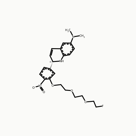 CN(C)c1ccc2c(c1)C=C[C@@H](c1ccc([N+](=O)[O-])c(OCCOCCOCCF)c1)N2